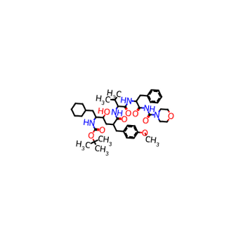 COc1ccc(CC(CC(O)C(CC2CCCCC2)NC(=O)OC(C)(C)C)C(=O)NC(C(=O)NC(Cc2ccccc2)C(=O)NC(=O)N2CCOCC2)C(C)C)cc1